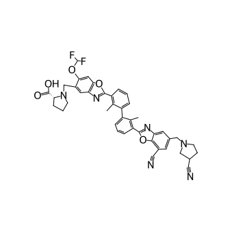 Cc1c(-c2nc3cc(CN4CCC[C@@H]4C(=O)O)c(OC(F)F)cc3o2)cccc1-c1cccc(-c2nc3cc(CN4CCC(C#N)C4)cc(C#N)c3o2)c1C